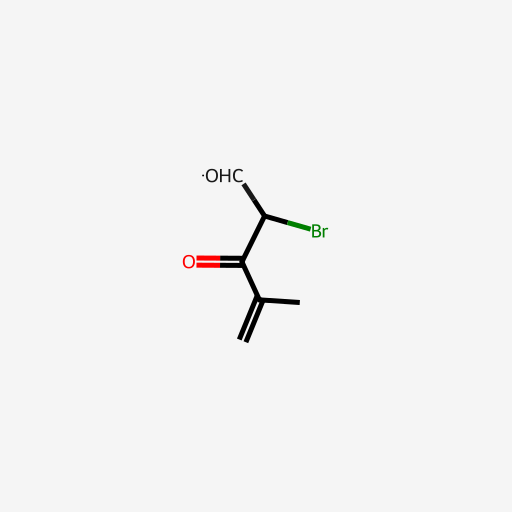 C=C(C)C(=O)C(Br)[C]=O